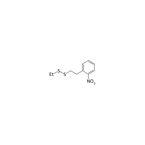 CCSSCCc1ccccc1[N+](=O)[O-]